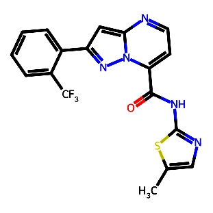 Cc1cnc(NC(=O)c2ccnc3cc(-c4ccccc4C(F)(F)F)nn23)s1